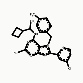 CC(Nc1nc(C#N)nc2nc(-c3cc(Cl)ccn3)n(Cc3ccc(C(F)(F)F)cc3)c12)C1CCC1